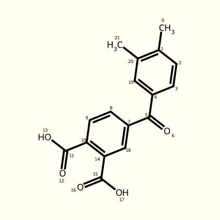 Cc1ccc(C(=O)c2ccc(C(=O)O)c(C(=O)O)c2)cc1C